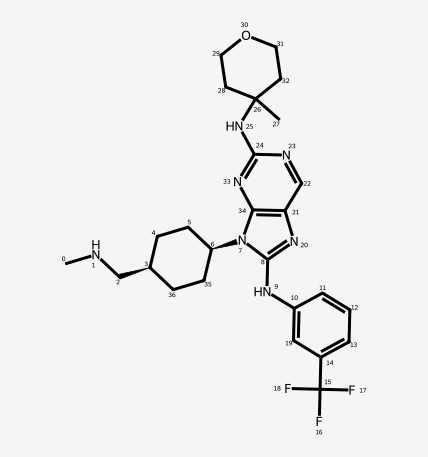 CNC[C@H]1CC[C@@H](n2c(Nc3cccc(C(F)(F)F)c3)nc3cnc(NC4(C)CCOCC4)nc32)CC1